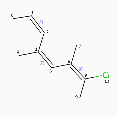 C\C=C/C(C)=C\C(C)=C(/C)Cl